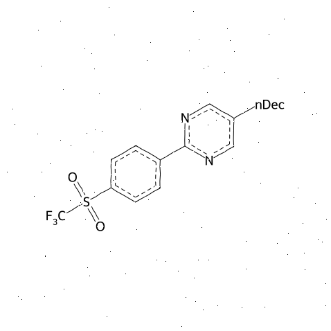 CCCCCCCCCCc1cnc(-c2ccc(S(=O)(=O)C(F)(F)F)cc2)nc1